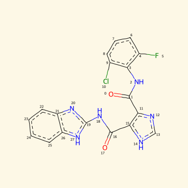 O=C(Nc1c(F)cccc1Cl)c1nc[nH]c1C(=O)Nc1nc2ccccc2[nH]1